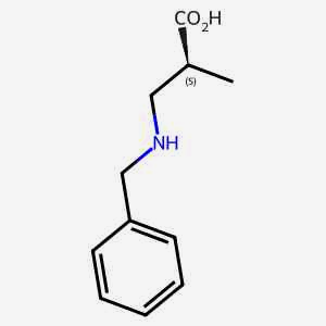 C[C@@H](CNCc1ccccc1)C(=O)O